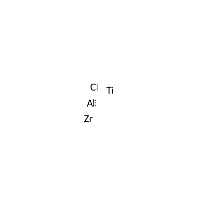 [Al].[C].[Ti].[Zr]